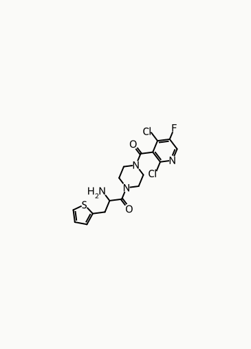 NC(Cc1cccs1)C(=O)N1CCN(C(=O)c2c(Cl)ncc(F)c2Cl)CC1